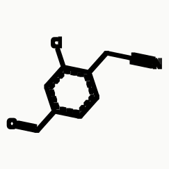 N#CCc1ccc(C=O)cc1Cl